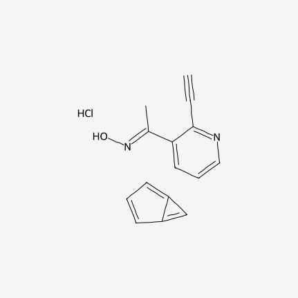 C#Cc1ncccc1C(C)=NO.Cl.c1cc2cc-2c1